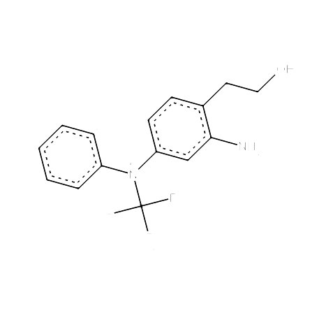 Nc1cc(N(c2ccccc2)C(F)(F)F)ccc1CCO